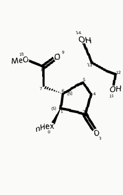 CCCCCC[C@@H]1C(=O)CC[C@H]1CC(=O)OC.OCCO